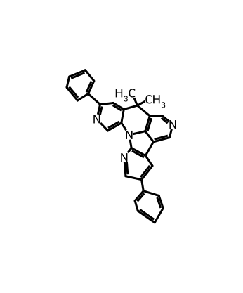 CC1(C)c2cc(-c3ccccc3)ncc2-n2c3ncc(-c4ccccc4)cc3c3cncc1c32